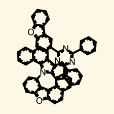 c1ccc(-c2nc(-c3ccc4oc5ccccc5c4c3)nc(-c3ccc4ccc5oc6cccc(-n7c8cc9ccccc9cc8c8ccc9ccccc9c87)c6c5c4c3)n2)cc1